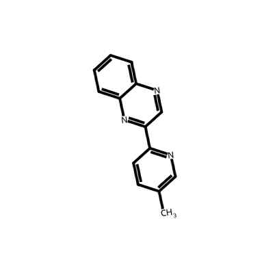 Cc1ccc(-c2cnc3ccccc3n2)nc1